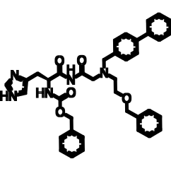 O=C(CN(CCOCc1ccccc1)Cc1ccc(-c2ccccc2)cc1)NC(=O)[C@H](Cc1c[nH]cn1)NC(=O)OCc1ccccc1